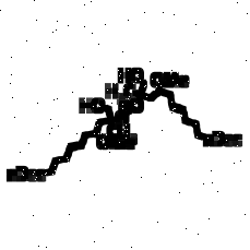 CCCCCCCCCCCCCC=CCC(CC(C)(CO)OOOC(C)(CO)CC(CC=CCCCCCCCCCCCCC)OC)OC